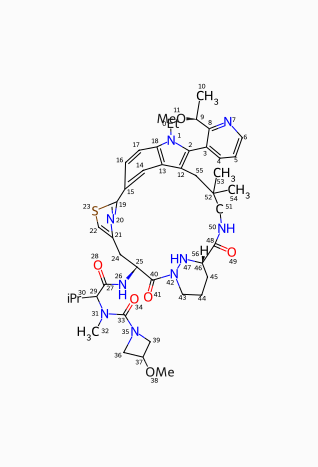 CCn1c(-c2cccnc2[C@H](C)OC)c2c3cc(ccc31)-c1nc(cs1)C[C@H](NC(=O)C(C(C)C)N(C)C(=O)N1CC(OC)C1)C(=O)N1CCC[C@H](N1)C(=O)NCC(C)(C)C2